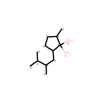 BC1(B)C(C)CCC1CC(C)C(C)C